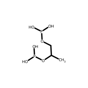 CC(COP(O)O)OP(O)O